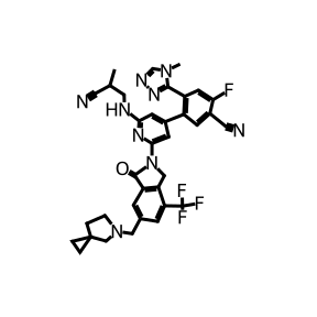 CC(C#N)CNc1cc(-c2cc(C#N)c(F)cc2-c2nncn2C)cc(N2Cc3c(cc(CN4CCC5(CC5)C4)cc3C(F)(F)F)C2=O)n1